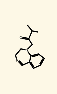 CC(C)C(=O)CN1CCN=Cc2ccccc21